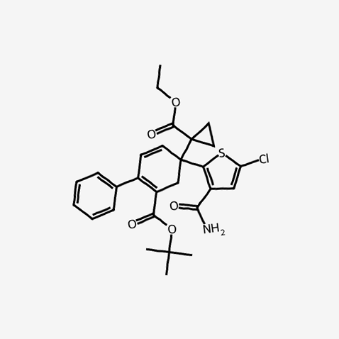 CCOC(=O)C1(C2(c3sc(Cl)cc3C(N)=O)C=CC(c3ccccc3)=C(C(=O)OC(C)(C)C)C2)CC1